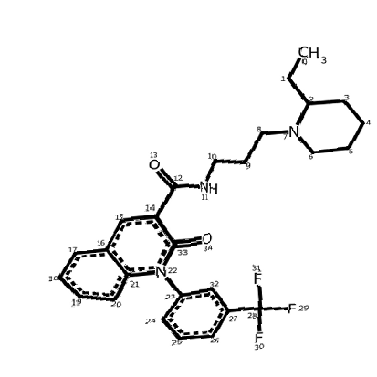 CCC1CCCCN1CCCNC(=O)c1cc2ccccc2n(-c2cccc(C(F)(F)F)c2)c1=O